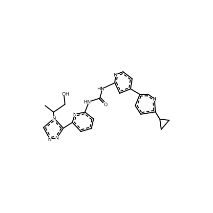 CC(CO)n1cnnc1-c1cccc(NC(=O)Nc2cc(-c3ccc(C4CC4)nc3)ccn2)n1